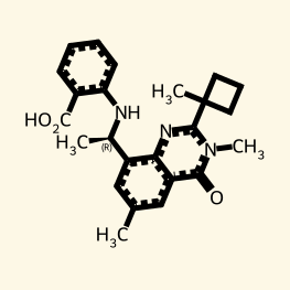 Cc1cc([C@@H](C)Nc2ccccc2C(=O)O)c2nc(C3(C)CCC3)n(C)c(=O)c2c1